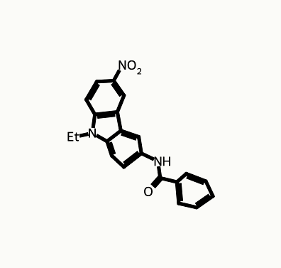 CCn1c2ccc(NC(=O)c3ccccc3)cc2c2cc([N+](=O)[O-])ccc21